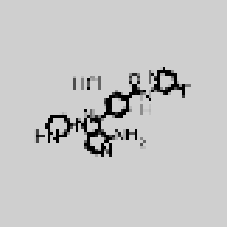 Cl.Nc1nccc2c1c(-c1ccc(C(=O)Nc3cc(F)ccn3)cc1)nn2[C@@H]1CCCNC1